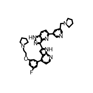 Fc1cc(OCCN2CCCC2)cc(-c2ccnc3[nH]c(-c4n[nH]c5ccc(-c6cncc(CN7CCCC7)c6)nc45)cc23)c1